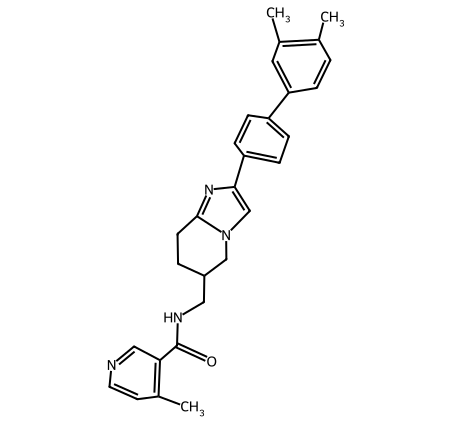 Cc1ccc(-c2ccc(-c3cn4c(n3)CCC(CNC(=O)c3cnccc3C)C4)cc2)cc1C